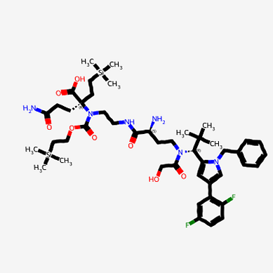 CC(C)(C)[C@H](c1cc(-c2cc(F)ccc2F)cn1Cc1ccccc1)N(CC[C@H](N)C(=O)NCCN(C(=O)OCC[Si](C)(C)C)[C@](CCC(N)=O)(CC[Si](C)(C)C)C(=O)O)C(=O)CO